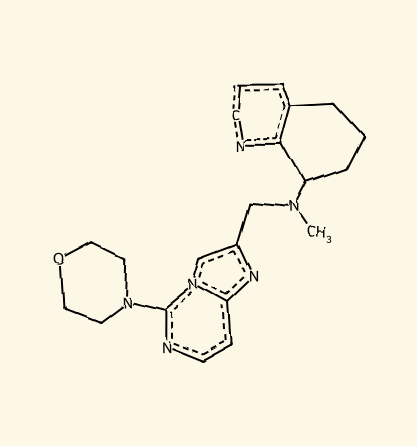 CN(Cc1cn2c(N3CCOCC3)nccc2n1)C1CCCc2cccnc21